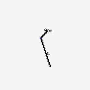 CCCCCCCCCC(CCCCCCCCCC/C=C\CCCCCC(=O)O)N(C)C